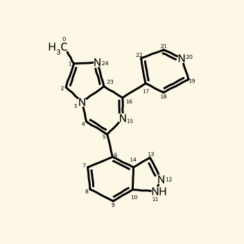 Cc1cn2cc(-c3cccc4[nH]ncc34)nc(-c3ccncc3)c2n1